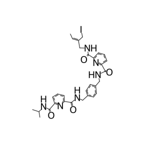 C/C=C(\CI)CNC(=O)c1cccc(C(=O)NCc2ccc(CNC(=O)c3cccc(C(=O)NC(C)C)n3)cc2)n1